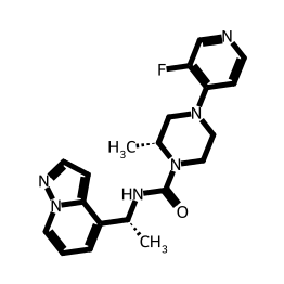 C[C@@H]1CN(c2ccncc2F)CCN1C(=O)N[C@H](C)c1cccn2nccc12